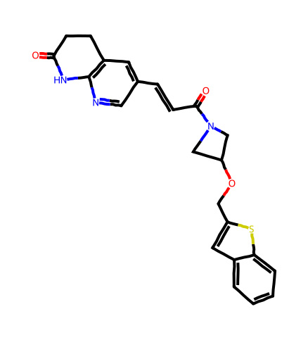 O=C1CCc2cc(C=CC(=O)N3CC(OCc4cc5ccccc5s4)C3)cnc2N1